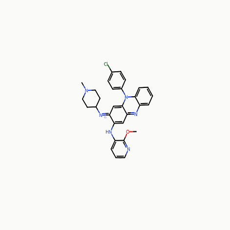 COc1ncccc1Nc1cc2nc3ccccc3n(-c3ccc(Cl)cc3)c-2c/c1=N\C1CCN(C)CC1